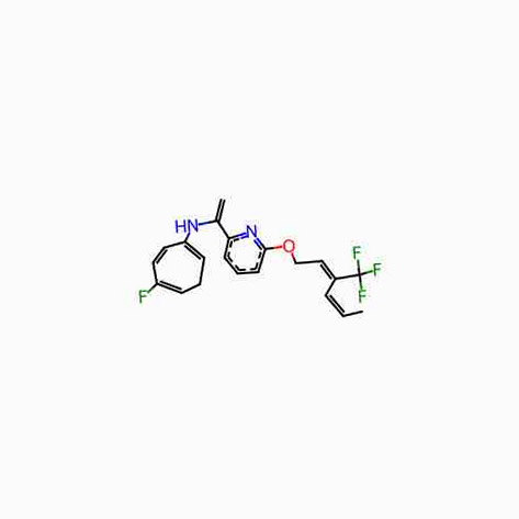 C=C(NC1=CCC=C(F)C=C1)c1cccc(OC/C=C(\C=C/C)C(F)(F)F)n1